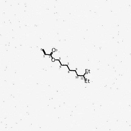 C=CC(=O)OCCCCCCC(CC)CC